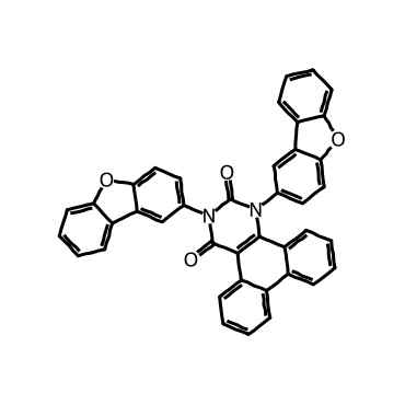 O=c1c2c3ccccc3c3ccccc3c2n(-c2ccc3oc4ccccc4c3c2)c(=O)n1-c1ccc2oc3ccccc3c2c1